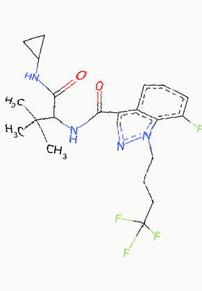 CC(C)(C)C(NC(=O)c1nn(CCCC(F)(F)F)c2c(F)cccc12)C(=O)NC1CC1